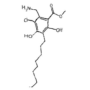 [CH2]CCCCCCCc1c(O)c(Cl)c(CN)c(C(=O)OC)c1O